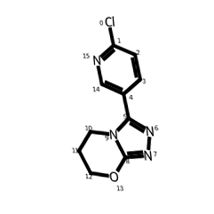 Clc1ccc(-c2nnc3n2CCCO3)cn1